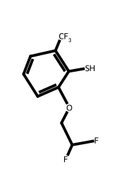 FC(F)COc1cccc(C(F)(F)F)c1S